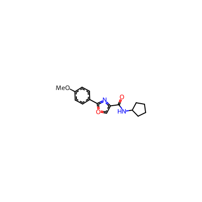 COc1ccc(-c2nc(C(=O)NC3CCCC3)co2)cc1